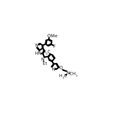 CC/N=C(/c1cc2c(-c3cc(F)cc(OC)c3)cncc2[nH]1)c1cc(-c2cncc(OCCN(C)C)c2)ccc1C